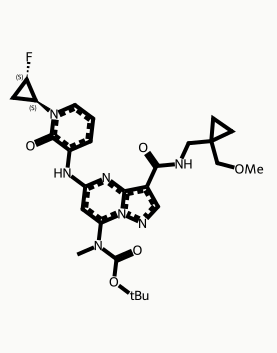 COCC1(CNC(=O)c2cnn3c(N(C)C(=O)OC(C)(C)C)cc(Nc4cccn([C@H]5C[C@@H]5F)c4=O)nc23)CC1